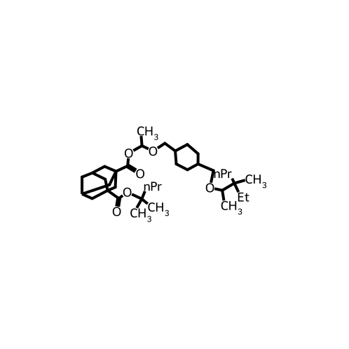 CCCC(C)(C)OC(=O)C12CC3CC(CC(C(=O)OC(C)OCC4CCC(COC(C)C(C)(CC)CCC)CC4)(C3)C1)C2